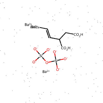 CCCCCCC=CC(CC(=O)O)C(=O)O.[Ba+2].[Ba+2].[Ba+2].[O-][Si]([O-])([O-])O[Si]([O-])([O-])[O-]